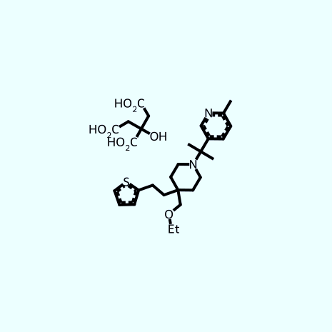 CCOCC1(CCc2cccs2)CCN(C(C)(C)c2ccc(C)nc2)CC1.O=C(O)CC(O)(CC(=O)O)C(=O)O